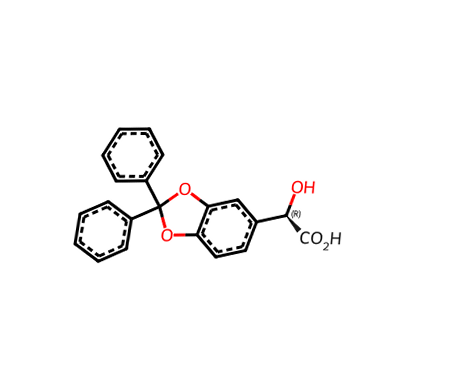 O=C(O)[C@H](O)c1ccc2c(c1)OC(c1ccccc1)(c1ccccc1)O2